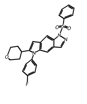 O=S(=O)(c1ccccc1)n1ncc2cc3c(cc(C4CCOCC4)n3-c3ccc(F)cc3)cc21